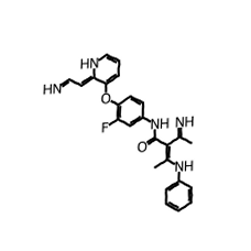 CC(=N)/C(C(=O)Nc1ccc(OC2=CC=CN/C2=C\C=N)c(F)c1)=C(/C)Nc1ccccc1